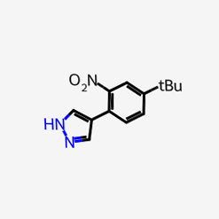 CC(C)(C)c1ccc(-c2cn[nH]c2)c([N+](=O)[O-])c1